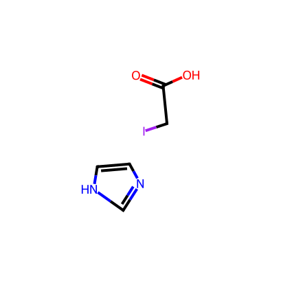 O=C(O)CI.c1c[nH]cn1